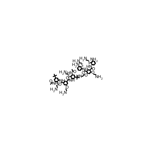 CC(=O)Nc1cc(C(C)(C)C)cc(NC(=O)c2cc(OCCN)cc(C(=O)Nc3cc(C(C)(C)CNCCOc4cc(OCCN)c(C(=O)Nc5cccc(N)c5SCCN)cc4C(=O)Nc4cccc(N)c4SCCN)cc(NC(C)=O)c3SCCN)c2)c1SCCN